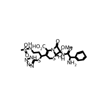 CO[C@@]1(NC(=O)C(N)c2ccccc2)C(=O)N2C(C(=O)O)=C(C(CCNS(C)(=O)=O)Sc3nnn[nH]3)CS[C@H]21